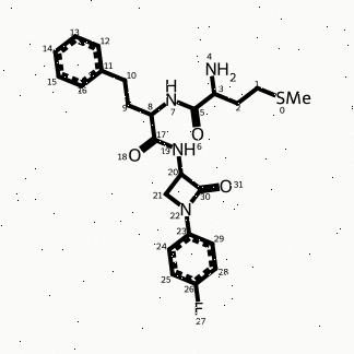 CSCCC(N)C(=O)NC(CCc1ccccc1)C(=O)NC1CN(c2ccc(F)cc2)C1=O